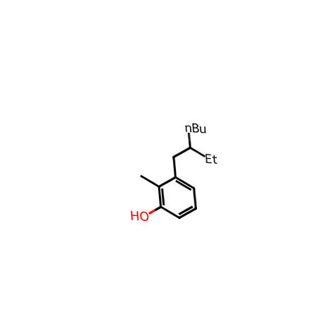 CCCCC(CC)Cc1cccc(O)c1C